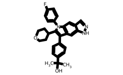 CC(C)(O)c1ccc(-c2c(C3CCOCC3)n(-c3ccc(F)cc3)c3cc4cn[nH]c4cc23)cc1